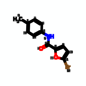 Cc1ccc(NC(=O)c2ccc(Br)o2)cc1